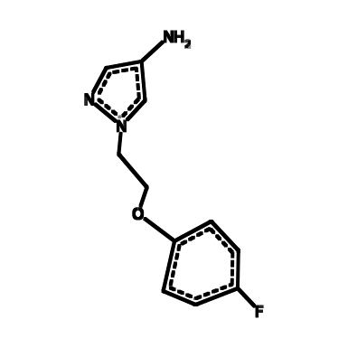 Nc1cnn(CCOc2ccc(F)cc2)c1